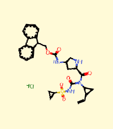 C=CC1CC1N(C(=O)NS(=O)(=O)C1CC1)C(=O)C1CC(NC(=O)OCC2c3ccccc3-c3ccccc32)CN1.Cl